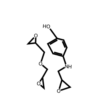 C(OCC1CO1)C1CO1.Oc1ccc(NCC2CO2)cc1